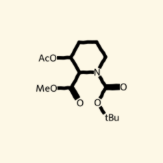 COC(=O)C1C(OC(C)=O)CCCN1C(=O)OC(C)(C)C